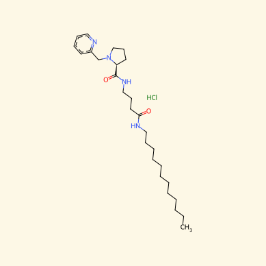 CCCCCCCCCCCCNC(=O)CCCNC(=O)[C@@H]1CCCN1Cc1ccccn1.Cl